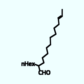 C/C=C/CCCCCCCCCC(C=O)CCCCCC